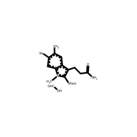 CCCCCc1c(CCC(N)=O)c2cc(C)[c]([Na])cc2n1C.O=CO